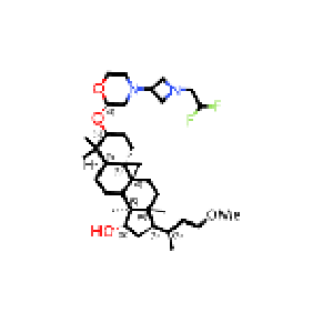 COCC[C@@H](C)[C@H]1C[C@H](O)[C@@]2(C)C3CC[C@H]4C(C)(C)[C@@H](O[C@H]5CN(C6CN(CC(F)F)C6)CCO5)CC[C@@]45C[C@@]35CC[C@]12C